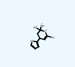 CC(=O)C1=CC(c2ccco2)CC(O)(C(C)=O)O1